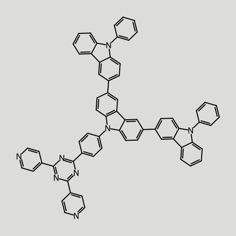 c1ccc(-n2c3ccccc3c3cc(-c4ccc5c(c4)c4cc(-c6ccc7c(c6)c6ccccc6n7-c6ccccc6)ccc4n5-c4ccc(-c5nc(-c6ccncc6)nc(-c6ccncc6)n5)cc4)ccc32)cc1